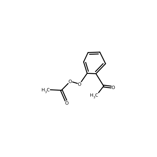 CC(=O)OOc1ccccc1C(C)=O